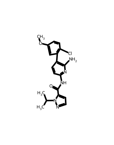 COc1ccc(Cl)c(-c2ccc(NC(=O)c3ccnn3C(C)C)nc2N)c1